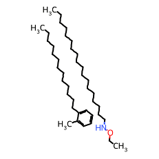 CCCCCCCCCCCCCCCCCCNOCC.CCCCCCCCCCCCCc1ccccc1C